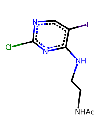 CC(=O)NCCNc1nc(Cl)ncc1I